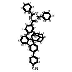 N#Cc1ccc(-c2ccc3c(c2)-c2cccc(-c4ccc(-c5nc(-c6ccccc6)nc(-c6ccccc6)n5)cc4)c2C32C3CC4CC(C3)CC2C4)cc1